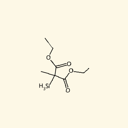 CCOC(=O)C(C)([SiH3])C(=O)OCC